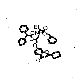 CCC(NCC(COc1ccc2c(=O)cc(-c3ccccc3)oc2c1)OC(=O)C(c1ccccc1)c1ccccc1)C(=O)OCc1ccccc1